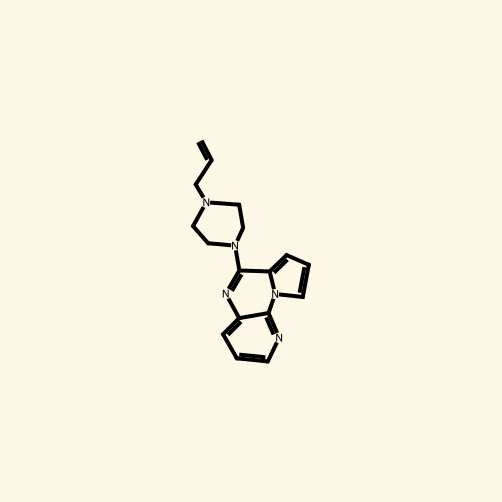 C=CCN1CCN(c2nc3cccnc3n3cccc23)CC1